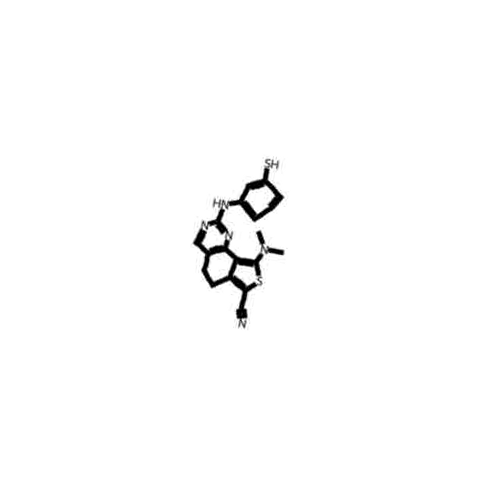 CN(C)c1sc(C#N)c2c1-c1nc(Nc3cccc(S)c3)ncc1CC2